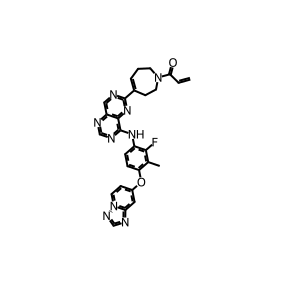 C=CC(=O)N1CCC=C(c2ncc3ncnc(Nc4ccc(Oc5ccn6ncnc6c5)c(C)c4F)c3n2)CC1